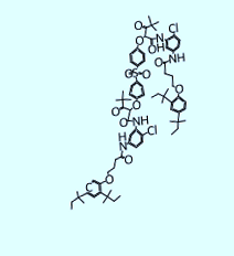 CCC(C)(C)c1ccc(OCCCC(=O)Nc2ccc(Cl)c(NC(=O)C(Oc3ccc(S(=O)(=O)c4ccc(OC(C(=O)Nc5cc(NC(=O)CCCOc6ccc(C(C)(C)CC)cc6C(C)(C)CC)ccc5Cl)C(=O)C(C)(C)C)cc4)cc3)C(=O)C(C)(C)C)c2)c(C(C)(C)CC)c1